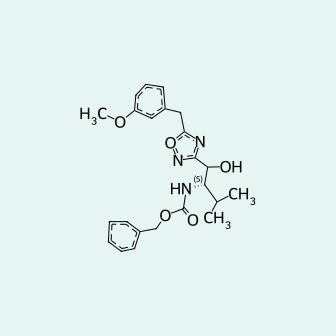 COc1cccc(Cc2nc(C(O)[C@@H](NC(=O)OCc3ccccc3)C(C)C)no2)c1